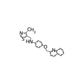 Cc1ncsc1CNc1ccc(OCc2ccc3ccccc3n2)cc1